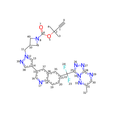 C#CC(C)(C)OC(=O)N1CC(Cn2cc(-c3cnc4ccc(C(F)(F)c5nnc6ncc(C)nn56)cc4c3)cn2)C1